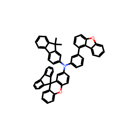 CC1(C)c2ccccc2-c2ccc(N(c3cccc(-c4cccc5oc6ccccc6c45)c3)c3ccc4c(c3)C3(c5ccccc5O4)c4ccccc4-c4ccccc43)cc21